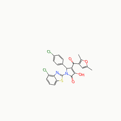 Cc1cc(C(=O)C2=C(O)C(=O)N(c3nc4c(Cl)cccc4s3)C2c2ccc(Cl)cc2)c(C)o1